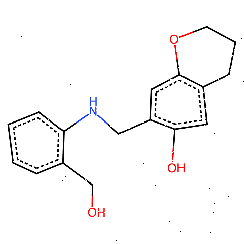 OCc1ccccc1NCc1cc2c(cc1O)CCCO2